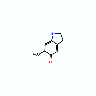 CC(=O)OC1C=C2NCCC2=CC1=O